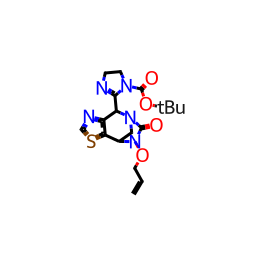 C=CCON1C(=O)N2CC1c1scnc1C2C1=NCCN1C(=O)OC(C)(C)C